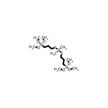 CO[Si](CCCS[Si](C)(C)SCCC[Si](OC)(OC)OC)(OC)OC